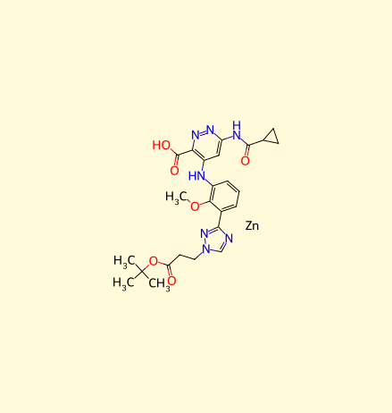 COc1c(Nc2cc(NC(=O)C3CC3)nnc2C(=O)O)cccc1-c1ncn(CCC(=O)OC(C)(C)C)n1.[Zn]